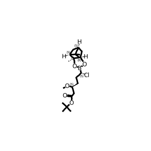 CO[C@@H](CC[C@@H](Cl)B1O[C@@H]2C[C@@H]3C[C@@H](C3(C)C)[C@]2(C)O1)CC(=O)OC(C)(C)C